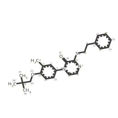 Cc1cc(-n2ccnc(SCCc3ccccc3)c2=O)ccc1OCC(C)(C)C